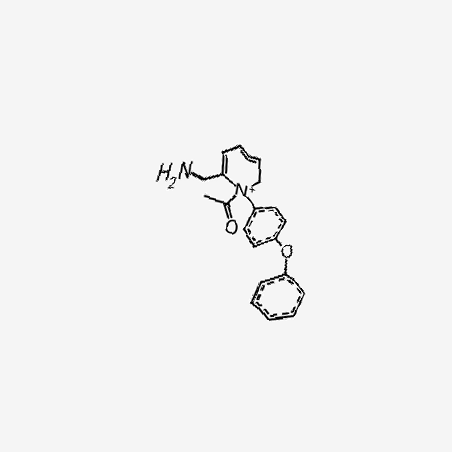 CC(=O)[N+]1(c2ccc(Oc3ccccc3)cc2)CC=CC=C1CN